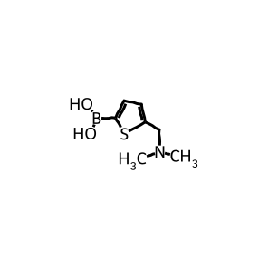 CN(C)Cc1ccc(B(O)O)s1